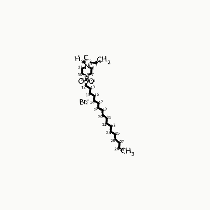 C=CC[N+]1(CC)CCN(S(=O)(=O)CCCCCCCCCCCCCCCCCC)CC1.[Br-]